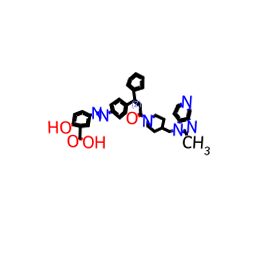 Cc1nc2cnccc2n1CC1CCN(C(=O)/C=C(/c2ccccc2)c2ccc(N=Nc3ccc(O)c(C(=O)O)c3)cc2)CC1